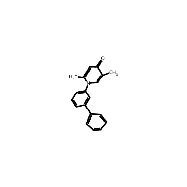 Cc1cn(-c2cccc(-c3ccccc3)c2)c(C)cc1=O